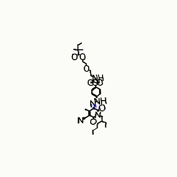 CCCCC(CC)CN1C(=O)C(C#N)=C(C)/C(=N/Nc2ccc(S(=O)(=O)NCCOCCOC(=O)C(C)(C)CC)cc2)C1=O